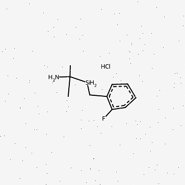 CC(C)(N)[SiH2]Cc1ccccc1F.Cl